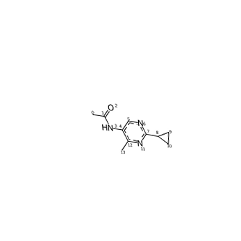 CC(=O)Nc1cnc(C2CC2)nc1C